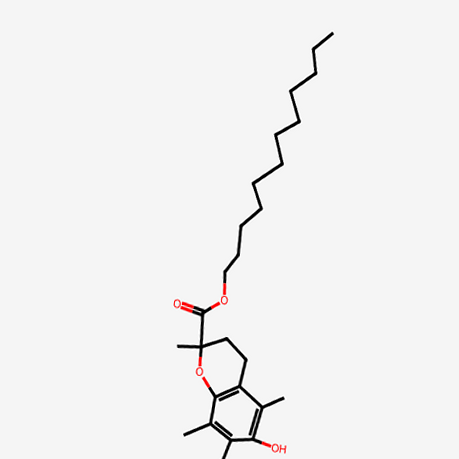 CCCCCCCCCCCCOC(=O)C1(C)CCc2c(C)c(O)c(C)c(C)c2O1